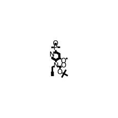 C#CCN(C(=O)OC(C)(C)C)c1cnc(P(C)(C)=O)cc1OC